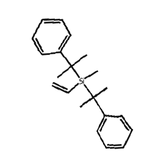 C=C[Si](C)(C(C)(C)c1ccccc1)C(C)(C)c1ccccc1